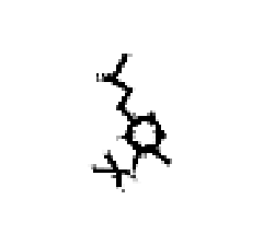 CC(=O)CCc1ccc(C)c(OC(C)(C)C)c1